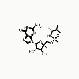 CC(C)[C@@H](C)NP(C)(=O)OC[C@@]1(F)O[C@@H](n2cnc3c(=O)[nH]c(N)nc32)[C@@H](O)C1O